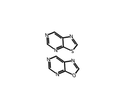 c1ncc2ncoc2n1.c1ncc2ncsc2n1